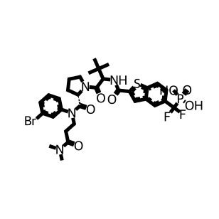 CN(C)C(=O)CCN(C(=O)[C@@H]1CCCN1C(=O)C(NC(=O)c1cc2cc(C(F)(F)P(=O)(O)O)ccc2s1)C(C)(C)C)c1cccc(Br)c1